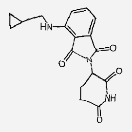 O=C1CCC(N2C(=O)c3cccc(NCC4CC4)c3C2=O)C(=O)N1